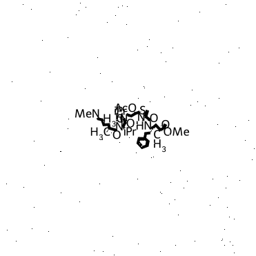 CNCCCC[C@@H](C)C(=O)N[C@H](C(=O)N(C)[C@H](C[C@@H](OC(C)=O)c1nc(C(=O)N[C@@H](CCc2ccccc2)C[C@H](C)C(=O)OC)cs1)C(C)C)C(C)C